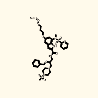 COOSCCCOc1cc(N(C)S(=O)(=O)c2ccccn2)c2[nH]c(C(=O)NCC(CN3CCN(S(C)(=O)=O)CC3)SCc3ccccc3)cc2c1